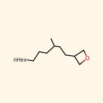 CCCCCCCCCC(C)CCC1COC1